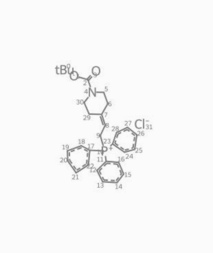 CC(C)(C)OC(=O)N1CCC(=CC[P+](c2ccccc2)(c2ccccc2)c2ccccc2)CC1.[Cl-]